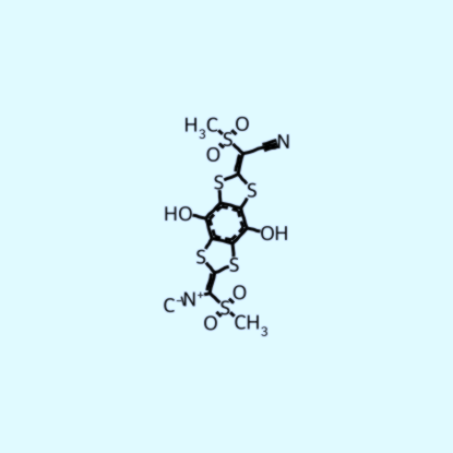 [C-]#[N+]C(=C1Sc2c(O)c3c(c(O)c2S1)SC(=C(C#N)S(C)(=O)=O)S3)S(C)(=O)=O